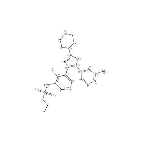 CCCS(=O)(=O)Nc1cccc(-c2nc(C3CCOCC3)oc2-c2ccnc(N)n2)c1F